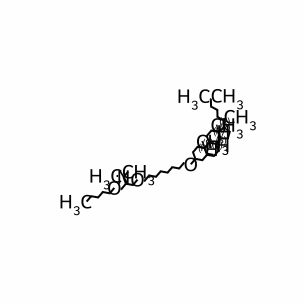 CCCCCOCC(COCCCCCCCCOC1CC[C@@]2(C)C(=CC[C@H]3[C@@H]4CC[C@H]([C@H](C)CCCC(C)C)[C@@]4(C)CC[C@@H]32)C1)N(C)C